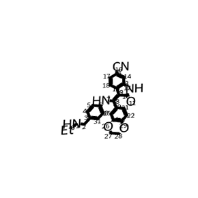 CCNCc1ccc(NC(=C2C(=O)Nc3cc(C#N)ccc32)c2ccc3c(c2)OCCO3)cc1